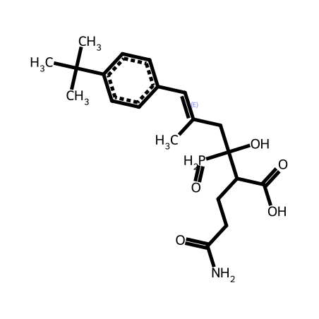 C/C(=C\c1ccc(C(C)(C)C)cc1)CC(O)([PH2]=O)C(CCC(N)=O)C(=O)O